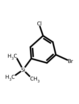 C[Si](C)(C)c1cc(Cl)cc(Br)c1